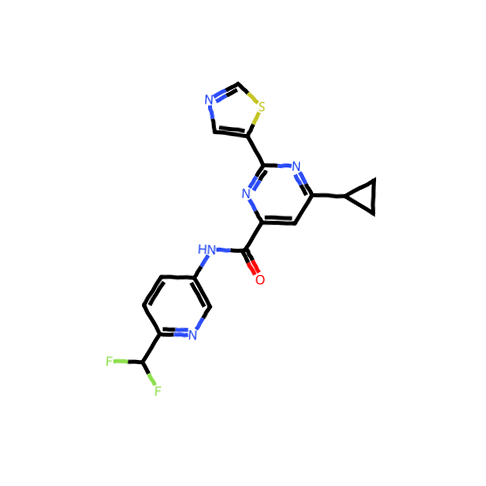 O=C(Nc1ccc(C(F)F)nc1)c1cc(C2CC2)nc(-c2cncs2)n1